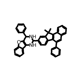 CC1(C)c2cc(C3Nc4c(oc5ccccc45)C(c4ccccc4)N3)ccc2-c2c(-c3ccccc3)cc3ccccc3c21